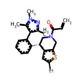 C=CC(=O)N1Cc2sc(CC)cc2[C@H](c2ccccc2-c2c(C)nn(C)c2C)C1